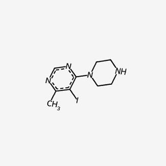 Cc1ncnc(N2CCNCC2)c1I